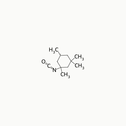 C[C]1CC(C)(C)CC(C)(N=C=O)C1